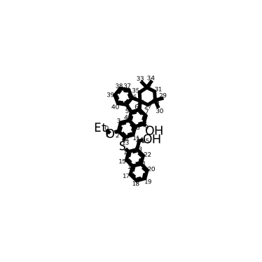 CCOc1cc2c3c(cc(O)c2cc1Sc1cc2ccccc2cc1CO)C1(CC(C)(C)CC(C)(C)C1)c1ccccc1-3